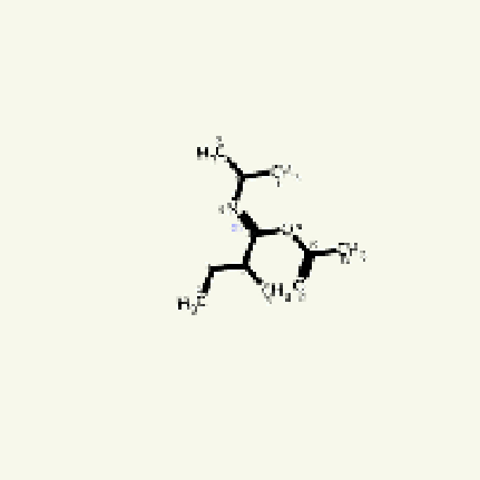 CCC(C)/C(=N/C(C)C)OC(C)=O